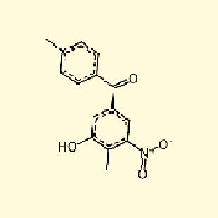 Cc1ccc(C(=O)c2cc(O)c(C)c([N+](=O)[O-])c2)cc1